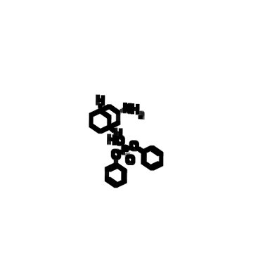 N[C@H]1C[C@H]2CCC[C@@H](C1)C2.O=P(O)(Oc1ccccc1)Oc1ccccc1